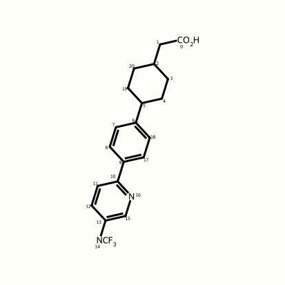 O=C(O)CC1CCC(c2ccc(-c3ccc(NC(F)(F)F)cn3)cc2)CC1